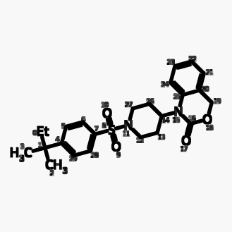 CCC(C)(C)c1ccc(S(=O)(=O)N2CCC(N3C(=O)OCc4ccccc43)CC2)cc1